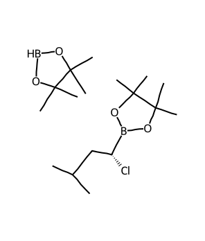 CC(C)C[C@@H](Cl)B1OC(C)(C)C(C)(C)O1.CC1(C)OBOC1(C)C